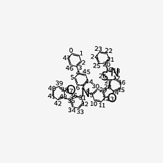 c1ccc(-c2ccc(N(c3ccc4oc5ccc6nc(-c7ccccc7)sc6c5c4c3)c3cccc4c3oc3ccccc34)cc2)cc1